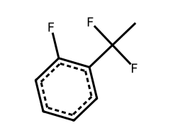 CC(F)(F)c1ccccc1F